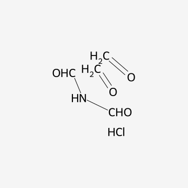 C=O.C=O.Cl.O=CNC=O